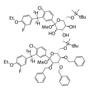 [2H]C([2H])(c1ccc(OCC)c(F)c1)c1cc([C@]2(OC)O[C@H](CO[Si](C)(C)C(C)(C)C)[C@@H](O)[C@H](O)[C@H]2O)ccc1Cl.[2H]C([2H])(c1ccc(OCC)c(F)c1)c1cc([C@]2(OC)O[C@H](CO[Si](C)(C)C(C)(C)C)[C@@H](OCc3ccccc3)[C@H](OCc3ccccc3)[C@H]2OCc2ccccc2)ccc1Cl